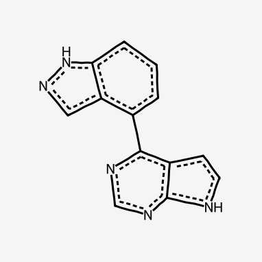 c1cc(-c2ncnc3[nH]ccc23)c2cn[nH]c2c1